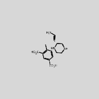 C1CNCCN1.Cc1ccc(C(=O)O)cc1C(=O)O.NC=S